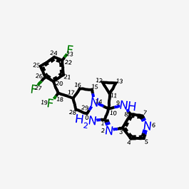 NC1=Nc2ccncc2NC1(C1CC1)N1CCC(C(F)c2cc(F)ccc2F)CC1